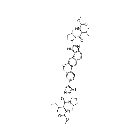 CC[C@H](C)[C@H](NC(=O)OC)C(=O)N1[C@@H](C)CC[C@H]1c1ncc(-c2ccc3c(c2)COc2cc4c(ccc5nc([C@@H]6CC[C@H](C)N6C(=O)[C@@H](NC(=O)OC)C(C)C)[nH]c54)cc2-3)[nH]1